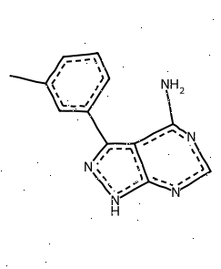 Cc1cccc(-c2n[nH]c3ncnc(N)c23)c1